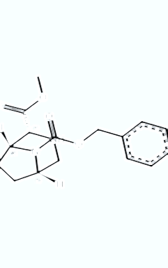 COC(=O)[C@@H]1NC[C@@H]2CC[C@H]1N2C(=O)OCc1ccccc1